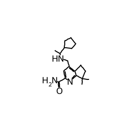 CC(NCc1cc(C(N)=O)nc2c1CCC2(C)C)C1CCCC1